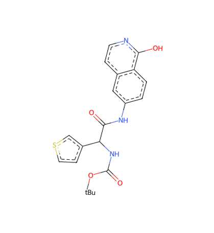 CC(C)(C)OC(=O)NC(C(=O)Nc1ccc2c(O)nccc2c1)c1ccsc1